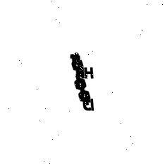 CC(C)N1CCC(NCc2ccc(-c3ccc(Cl)cc3)cc2)CC1